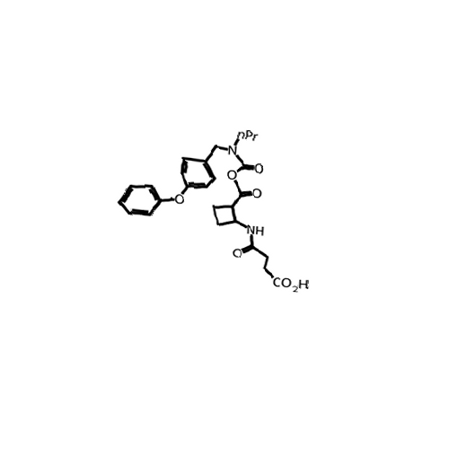 CCCN(Cc1ccc(Oc2ccccc2)cc1)C(=O)OC(=O)C1CCC1NC(=O)CCC(=O)O